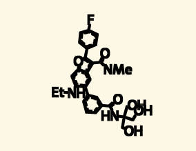 CCNc1cc2oc(-c3ccc(F)cc3)c(C(=O)NC)c2cc1-c1cccc(C(=O)NC(CO)(CO)CO)c1